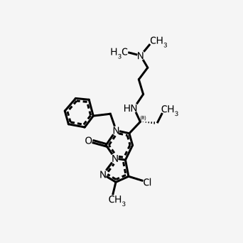 CC[C@@H](NCCCN(C)C)c1cc2c(Cl)c(C)nn2c(=O)n1Cc1ccccc1